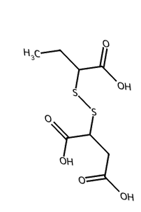 CCC(SSC(CC(=O)O)C(=O)O)C(=O)O